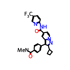 CNC(=O)c1ccc(-c2c(C3CCC3)nn3ccc(C(=O)Nc4ccc(C(F)(F)F)cn4)cc23)cc1